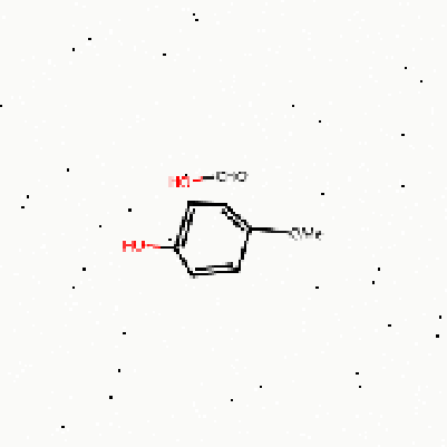 COc1ccc(O)cc1.O=[C]O